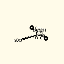 CCCCCCCCC=CCCCCCCCC(=O)N1CC(C(C)Oc2ccccc2)OB(O)OC(C(C)Oc2ccccc2)C1